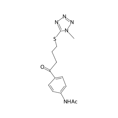 CC(=O)Nc1ccc(C(=O)CCCSc2nnnn2C)cc1